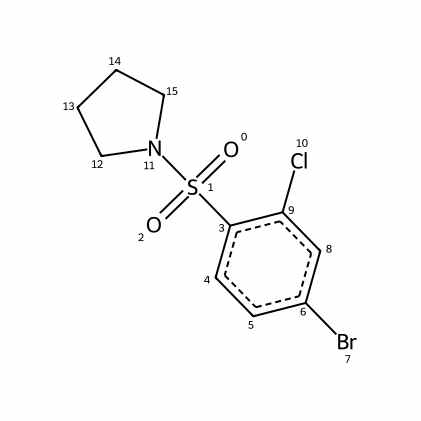 O=S(=O)(c1ccc(Br)cc1Cl)N1CCCC1